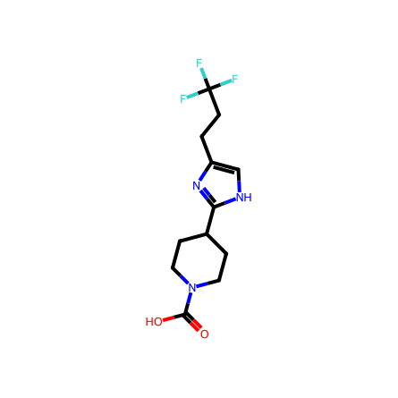 O=C(O)N1CCC(c2nc(CCC(F)(F)F)c[nH]2)CC1